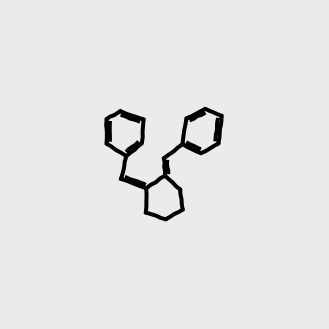 C(=C1CCCCC1=Cc1ccccc1)c1ccccc1